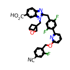 N#Cc1ccc(COc2cccc(-c3cc(F)c(Cc4nc5ccc(C(=O)O)cc5n4CC45COC(C4)C5)cc3F)n2)c(F)c1